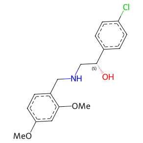 COc1ccc(CNC[C@@H](O)c2ccc(Cl)cc2)c(OC)c1